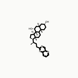 C[C@H](CCc1ncc2ncccc2n1)[C@H]1CC[C@H]2[C@H]3C(CC[C@]12C)[C@@]1(C)CC[C@@H](O)C[C@H]1C[C@H]3O